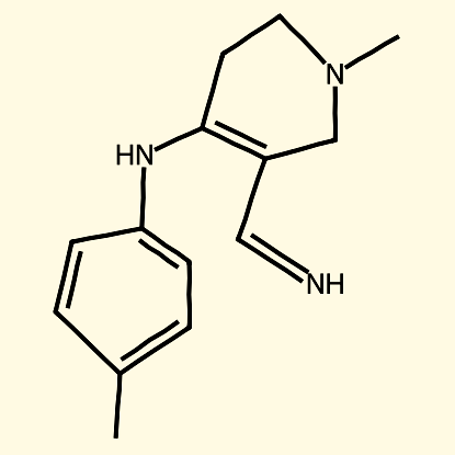 Cc1ccc(NC2=C(C=N)CN(C)CC2)cc1